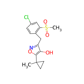 CC1(c2onc(Cc3ccc(Cl)cc3S(C)(=O)=O)c2O)CC1